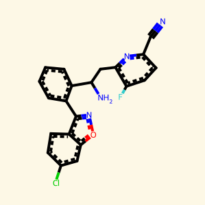 N#Cc1ccc(F)c(CC(N)c2ccccc2-c2noc3cc(Cl)ccc23)n1